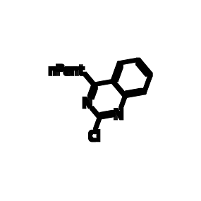 CCCCCc1nc(Cl)nc2ccccc12